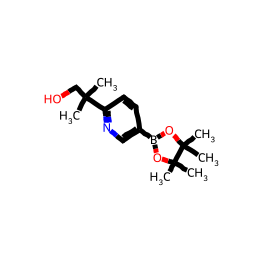 CC(C)(CO)c1ccc(B2OC(C)(C)C(C)(C)O2)cn1